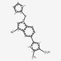 CCOC(=O)c1sc(-c2ccc3c(c2)c(C#N)cn3Cc2nccs2)nc1C